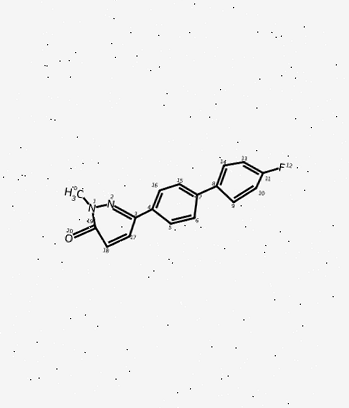 Cn1nc(-c2ccc(-c3ccc(F)cc3)cc2)ccc1=O